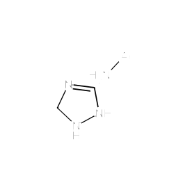 C1=NCNN1.CC(N)=O